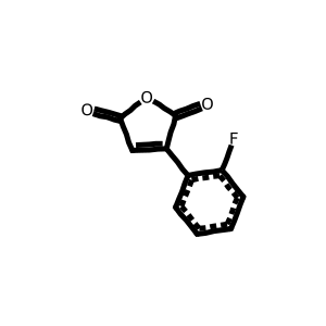 O=C1C=C(c2ccccc2F)C(=O)O1